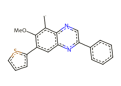 [CH2]c1c(OC)c(-c2cccs2)cc2nc(-c3ccccc3)cnc12